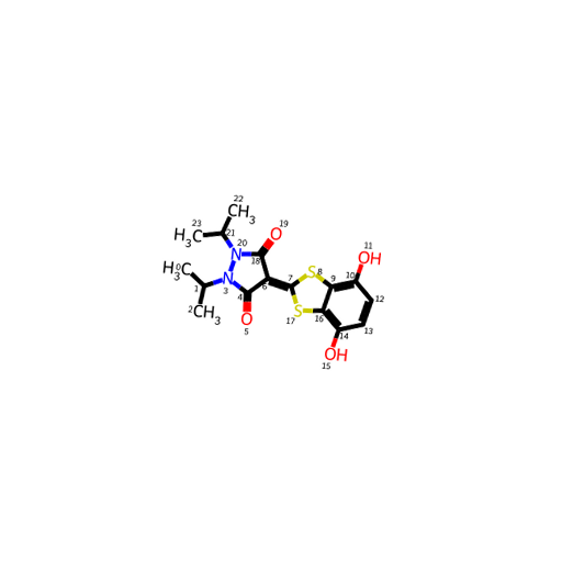 CC(C)N1C(=O)C(=C2Sc3c(O)ccc(O)c3S2)C(=O)N1C(C)C